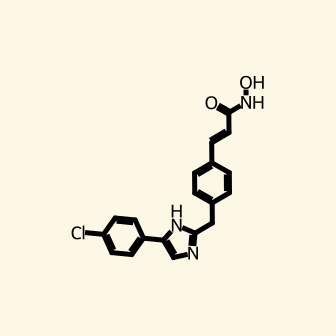 O=C(/C=C/c1ccc(Cc2ncc(-c3ccc(Cl)cc3)[nH]2)cc1)NO